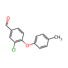 Cc1ccc(Oc2ccc(C=O)cc2Cl)cc1